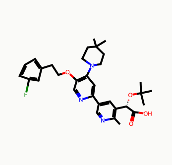 Cc1ncc(-c2cc(N3CCC(C)(C)CC3)c(OCCc3cccc(F)c3)cn2)cc1[C@H](OC(C)(C)C)C(=O)O